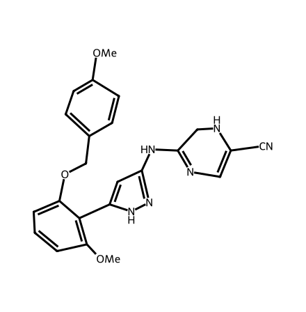 COc1ccc(COc2cccc(OC)c2-c2cc(NC3=NC=C(C#N)NC3)n[nH]2)cc1